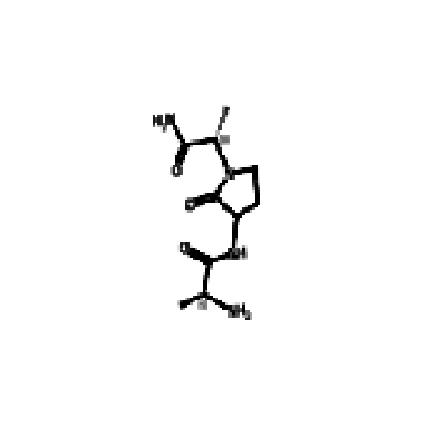 C[C@H](N)C(=O)NC1CCN([C@@H](C)C(N)=O)C1=O